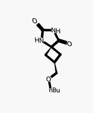 CCCCOC[C@H]1C[C@@]2(C1)NC(=O)NC2=O